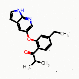 CCc1ccc(C(=O)C(C)C)c(Oc2cnc3[nH]ccc3c2)c1